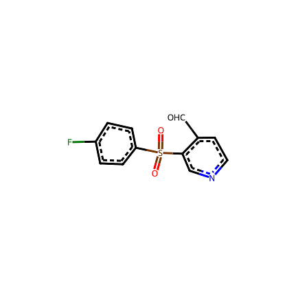 O=Cc1ccncc1S(=O)(=O)c1ccc(F)cc1